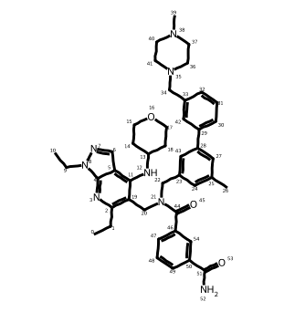 CCc1nc2c(cnn2CC)c(NC2CCOCC2)c1CN(Cc1cc(C)cc(-c2cccc(CN3CCN(C)CC3)c2)c1)C(=O)c1cccc(C(N)=O)c1